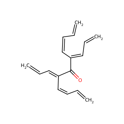 C=C/C=C\C(=C/C=C)C(=O)C(/C=C\C=C)=C/C=C